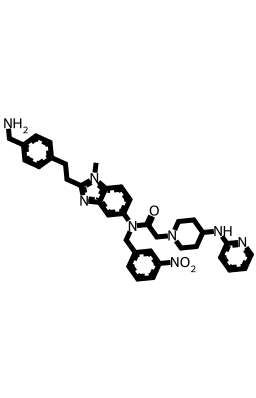 Cn1c(CCc2ccc(CN)cc2)nc2cc(N(Cc3cccc([N+](=O)[O-])c3)C(=O)CN3CCC(Nc4ccccn4)CC3)ccc21